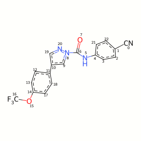 N#Cc1ccc(NC(=O)n2cc(-c3ccc(OC(F)(F)F)cc3)cn2)cc1